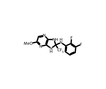 COc1cnc2c(n1)NC(Nc1cccc(F)c1F)(C(F)(F)F)N2